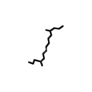 CCCC(C)CCCCCCCC(C)CCC